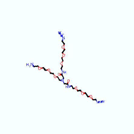 [N-]=[N+]=NCCOCCOCCOCCNC(=O)CN(CCOCCOCCOCCN)CC(=O)NCCOCCOCCOCCN=[N+]=[N-]